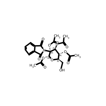 CC(=O)O[C@@H]1[C@@H](CO)O[C@H](OC(C)=O)[C@@](OC(C)=O)(N2C(=O)c3ccccc3C2=O)[C@H]1OC(C)=O